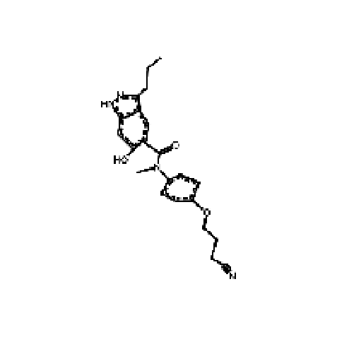 CCCc1n[nH]c2cc(O)c(C(=O)N(C)c3ccc(OCCCC#N)cc3)cc12